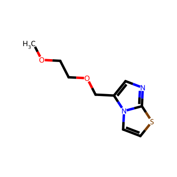 COCCOCc1cnc2sccn12